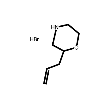 Br.C=CCC1CNCCO1